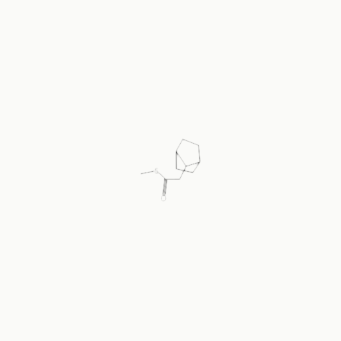 CSC(=O)CC1C2CCC1CC2